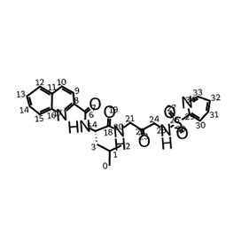 CC(C)C[C@H](NC(=O)c1ccc2ccccc2n1)C(=O)NCC(=O)CNS(=O)(=O)c1ccccn1